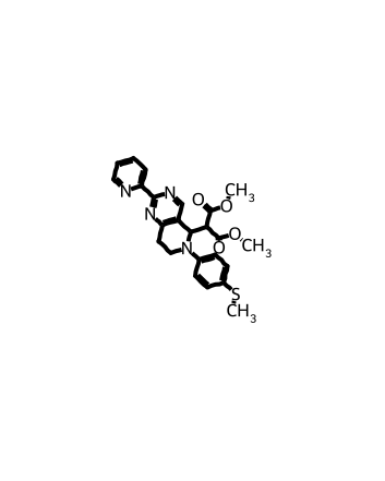 COC(=O)C(C(=O)OC)C1c2cnc(-c3ccccn3)nc2CCN1c1ccc(SC)cc1